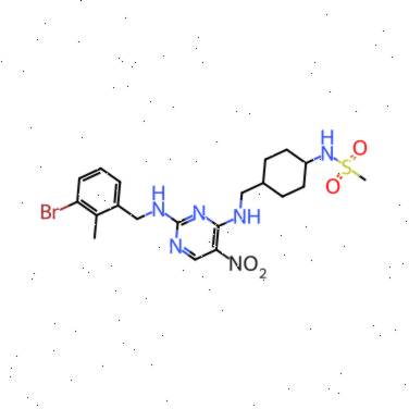 Cc1c(Br)cccc1CNc1ncc([N+](=O)[O-])c(NCC2CCC(NS(C)(=O)=O)CC2)n1